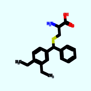 CCc1ccc(C(SCC(N)C(=O)O)c2ccccc2)cc1CC